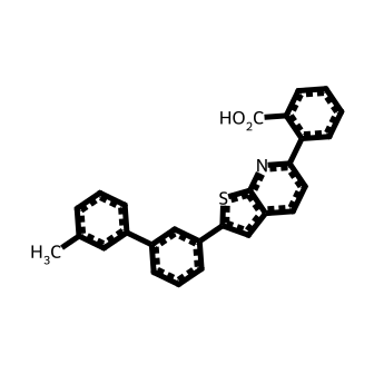 Cc1cccc(-c2cccc(-c3cc4ccc(-c5ccccc5C(=O)O)nc4s3)c2)c1